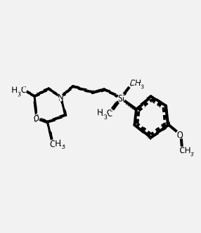 COc1ccc([Si](C)(C)CCCN2CC(C)OC(C)C2)cc1